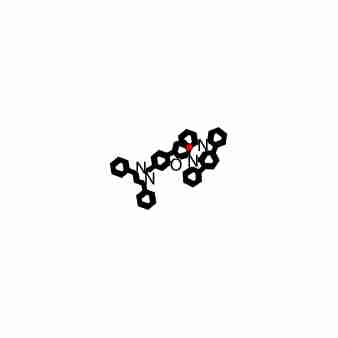 c1ccc(-c2cc(-c3ccccc3)nc(-c3ccc4c(c3)oc3c(-n5c6ccccc6c6ccc7c8ccccc8n(-c8ccccc8)c7c65)cccc34)n2)cc1